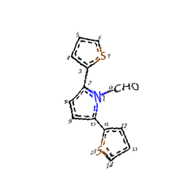 O=Cn1c(-c2cccs2)ccc1-c1cccs1